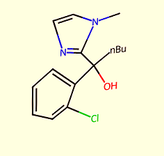 CCCCC(O)(c1ccccc1Cl)c1nccn1C